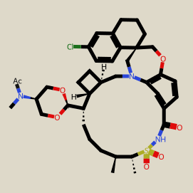 CC(=O)N(C)[C@H]1CO[C@@H]([C@H]2CCC[C@H](C)[C@@H](C)S(=O)(=O)NC(=O)c3ccc4c(c3)N(C[C@@H]3CC[C@H]32)C[C@@]2(CCCc3cc(Cl)ccc32)CO4)OC1